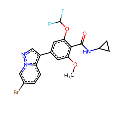 COc1cc(-c2cnn3cc(Br)ccc23)cc(OC(F)F)c1C(=O)NC1CC1